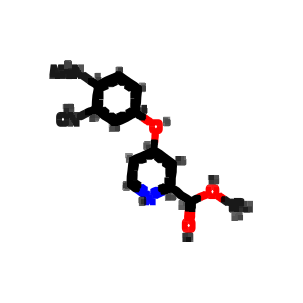 CNc1ccc(Oc2ccnc(C(=O)OC(C)(C)C)c2)cc1N=O